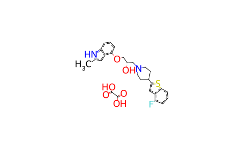 Cc1cc2c(OC[C@@H](O)CN3CCC(c4cc5c(F)cccc5s4)CC3)cccc2[nH]1.O=C(O)C(=O)O